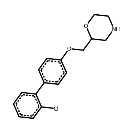 Clc1ccccc1-c1ccc(OCC2CNCCO2)cc1